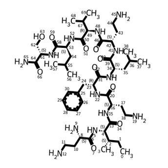 CC[C@H](C)[C@H](NC(=O)[C@@H](N)CCN)C(=O)N[C@@H](CCN)C(=O)N[C@H](Cc1ccccc1)C(=O)N[C@@H](CC(C)C)C(=O)N[C@@H](CCN)C(=O)N[C@@H](C(=O)N[C@@H](CC(C)C)C(=O)N[C@@H](CO)C(N)=O)C(C)C